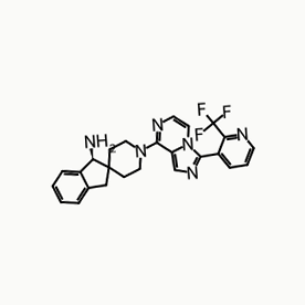 N[C@@H]1c2ccccc2CC12CCN(c1nccn3c(-c4cccnc4C(F)(F)F)ncc13)CC2